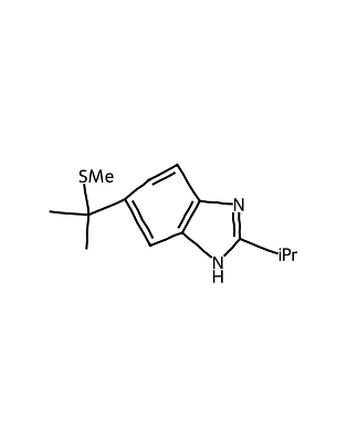 CSC(C)(C)c1ccc2nc(C(C)C)[nH]c2c1